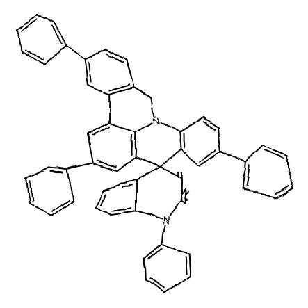 c1ccc(-c2ccc3c(c2)-c2cc(-c4ccccc4)cc4c2N(C3)c2ccc(-c3ccccc3)cc2C42c3ccccc3N(c3ccccc3)c3ccccc32)cc1